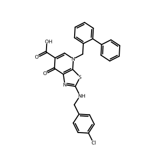 O=C(O)c1cn(Cc2ccccc2-c2ccccc2)c2sc(NCc3ccc(Cl)cc3)nc2c1=O